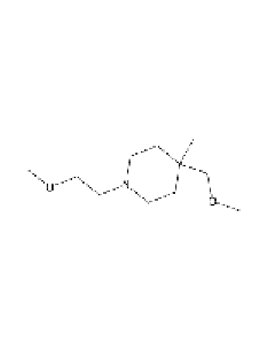 COCCN1CCC(C)(COC)CC1